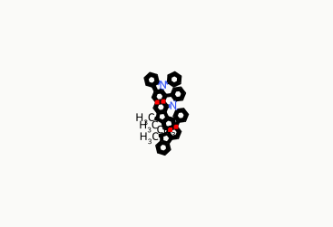 CC1(C)c2ccccc2-c2ccc(-c3cccc(N(c4ccccc4-c4cccc5c6ccccc6n(-c6ccccc6)c45)c4cccc5c4-c4ccccc4C5(C)C)c3)cc21